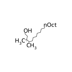 CCCCCCCCCCCCCCCC(C)[C](C)CCO